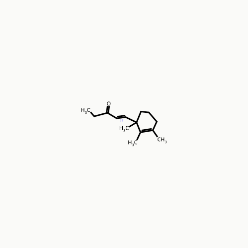 CCC(=O)/C=C/C1(C)CCCC(C)=C1C